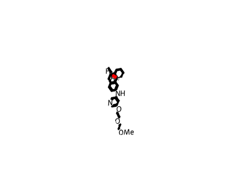 COCCOCCOc1cncc(Nc2ccc3c(c2)[C@@]24CCCC[C@H]2[C@@H](C3)N(C)CCC4)c1